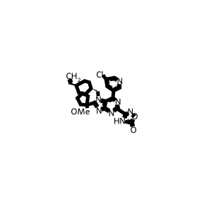 C=C[C@H]1CC[C@H](Cn2c(C3(OC)CCCC3)nc3nc(-c4noc(=O)[nH]4)nc(-c4cncc(Cl)c4)c32)CC1